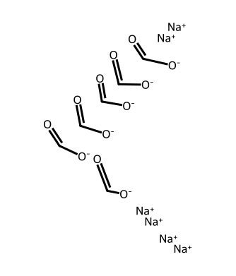 O=C[O-].O=C[O-].O=C[O-].O=C[O-].O=C[O-].O=C[O-].[Na+].[Na+].[Na+].[Na+].[Na+].[Na+]